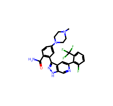 CN1CCN(c2ccc(C(N)=O)c(-c3n[nH]c4cnc(-c5c(F)cccc5C(F)(F)F)cc34)c2)CC1